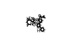 CCC1(C)CCC(F)/C=N\C(C(C(=O)NC2CNC(C3CCCCC3)CC2C2CCN(C(=O)C3CC3)CC2)C(N)N)C1